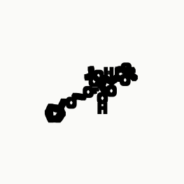 CC1(C)OC[C@H]([C@H]2OC(O)[C@@]3(COCCOCc4ccccc4)OC(C)(C)O[C@@H]23)O1